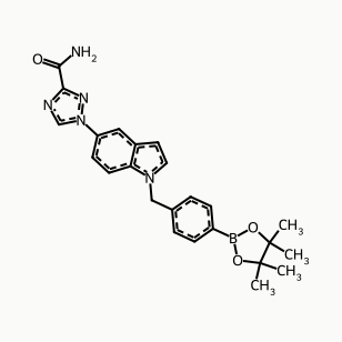 CC1(C)OB(c2ccc(Cn3ccc4cc(-n5cnc(C(N)=O)n5)ccc43)cc2)OC1(C)C